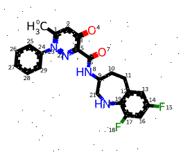 Cc1cc(=O)c(C(=O)NC2CCc3cc(F)cc(F)c3NC2)nn1-c1ccccc1